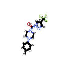 Cc1ccc(N2CCN(C(=O)n3cc(C(F)(F)F)cn3)CC2)cc1